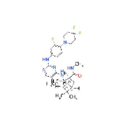 CNC(=O)[C@H]1C[C@H]2C[C@H](C2(C)C)[C@@]1(C)Nc1nc(Nc2ccc(N3CCC(F)(F)CC3)c(F)c2)ncc1C